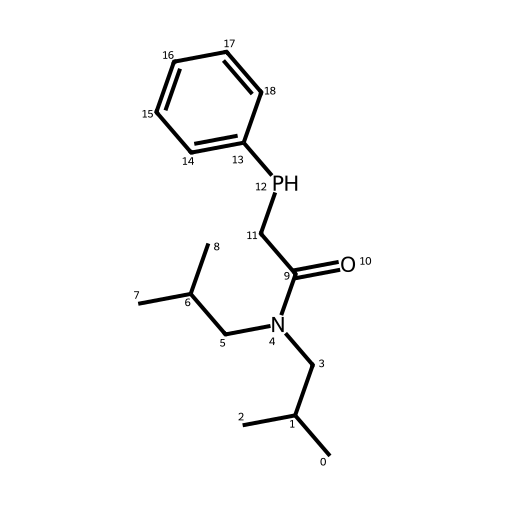 CC(C)CN(CC(C)C)C(=O)CPc1ccccc1